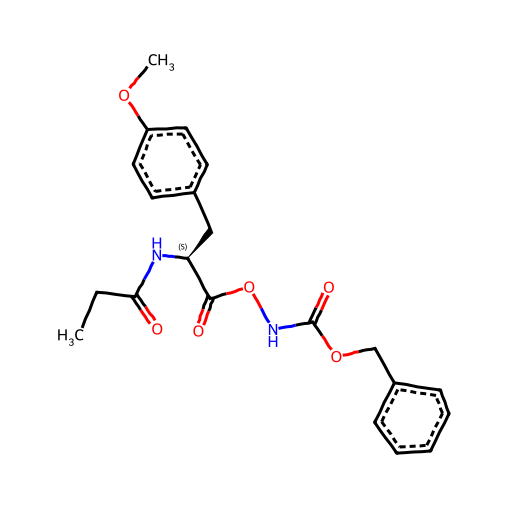 CCC(=O)N[C@@H](Cc1ccc(OC)cc1)C(=O)ONC(=O)OCc1ccccc1